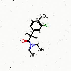 CC(C)CN(CC(C)C)C(=O)C(C)(C)c1ccc([N+](=O)[O-])c(Cl)c1